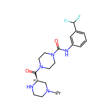 CC(C)N1CCN[C@@H](C(=O)N2CCN(C(=O)Nc3cccc(C(F)F)c3)CC2)C1